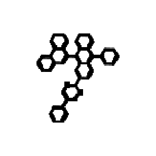 c1ccc(-c2cnc(-c3ccc4c(-c5ccccc5)c5ccccc5c(-c5cc6ccccc6c6ccccc56)c4c3)nc2)cc1